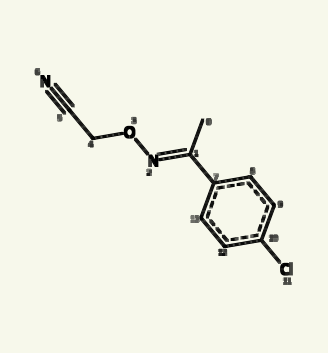 CC(=NOCC#N)c1ccc(Cl)cc1